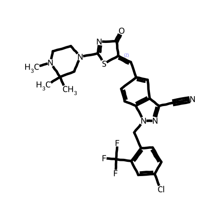 CN1CCN(C2=NC(=O)/C(=C/c3ccc4c(c3)c(C#N)nn4Cc3ccc(Cl)cc3C(F)(F)F)S2)CC1(C)C